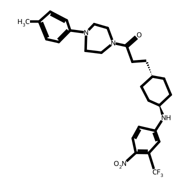 Cc1ccc(N2CCN(C(=O)CC[C@H]3CC[C@H](Nc4ccc([N+](=O)[O-])c(C(F)(F)F)c4)CC3)CC2)cc1